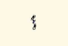 O=C=N/C=C/N=C=O